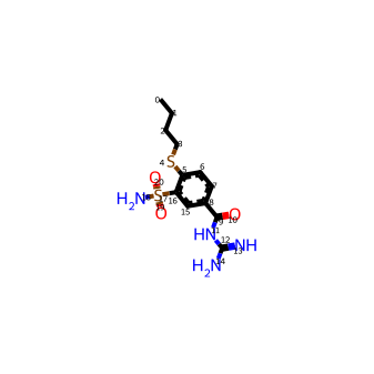 CCCCSc1ccc(C(=O)NC(=N)N)cc1S(N)(=O)=O